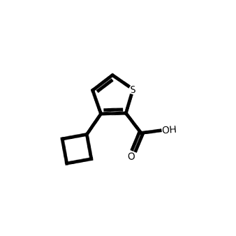 O=C(O)c1sccc1C1CCC1